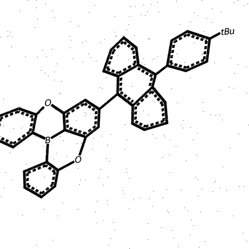 CC(C)(C)c1ccc(-c2c3ccccc3c(-c3cc4c5c(c3)Oc3ccccc3B5c3ccccc3O4)c3ccccc23)cc1